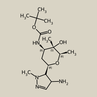 C[C@H]1O[C@@H](C2C(N)C=NN2C)C[C@@H](NC(=O)OC(C)(C)C)[C@]1(C)O